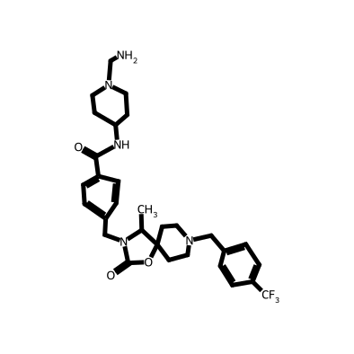 CC1N(Cc2ccc(C(=O)NC3CCN(CN)CC3)cc2)C(=O)OC12CCN(Cc1ccc(C(F)(F)F)cc1)CC2